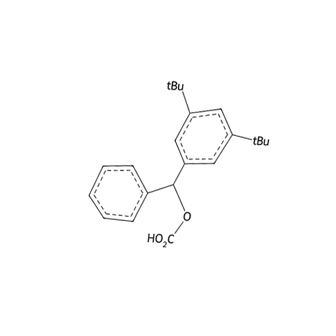 CC(C)(C)c1cc(C(OC(=O)O)c2ccccc2)cc(C(C)(C)C)c1